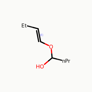 CC/C=C/OC(O)CCC